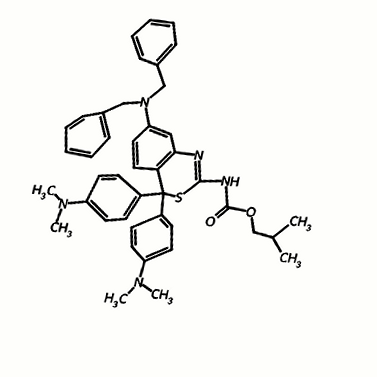 CC(C)COC(=O)NC1=Nc2cc(N(Cc3ccccc3)Cc3ccccc3)ccc2C(c2ccc(N(C)C)cc2)(c2ccc(N(C)C)cc2)S1